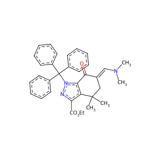 CCOC(=O)c1nn(C(c2ccccc2)(c2ccccc2)c2ccccc2)c2c1C(C)(C)CC(=CN(C)C)C2=O